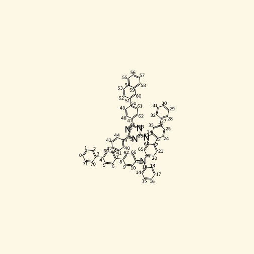 c1ccc(-c2ccc(-c3ccc(N(c4ccccc4)c4ccc5c6ccc(-c7ccccc7)cc6n(-c6nc(-c7ccccc7)nc(-c7ccc(-c8ccc9ccccc9c8)cc7)n6)c5c4)cc3)cc2)cc1